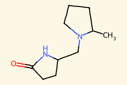 CC1CCCN1CC1CCC(=O)N1